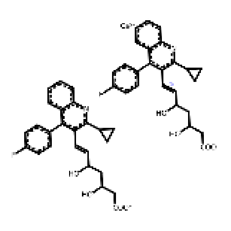 O=C([O-])CC(O)CC(O)/C=C/c1c(C2CC2)nc2ccccc2c1-c1ccc(F)cc1.O=C([O-])CC(O)CC(O)C=Cc1c(C2CC2)nc2ccccc2c1-c1ccc(F)cc1.[Ca+2]